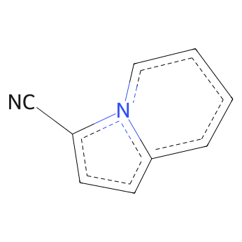 N#Cc1ccc2ccccn12